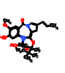 CC=CC1=CN2C(=O)c3cc(OC)c(O)cc3N(C(=O)O)C(O[Si](C)(C)C(C)(C)C)C2C1